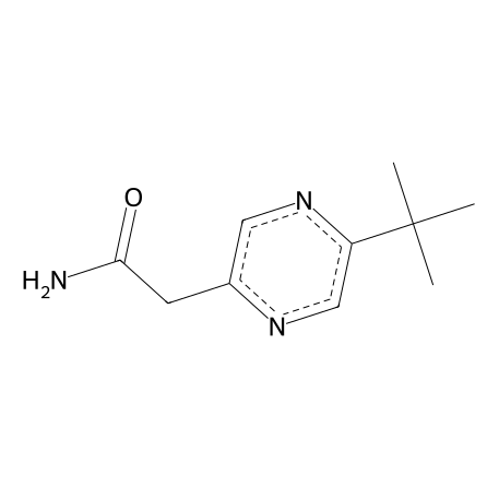 CC(C)(C)c1cnc(CC(N)=O)cn1